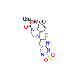 COc1cccc2c1N(C(=O)OC(C)(C)C)CCN2c1cc2cnc(S(C)(=O)=O)nc2n(C)c1=O